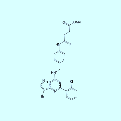 COC(=O)CCC(=O)Nc1ccc(CNc2cc(-c3ccccc3Cl)nc3c(Br)cnn23)cc1